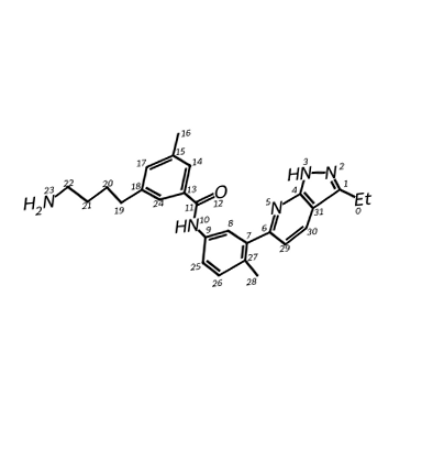 CCc1n[nH]c2nc(-c3cc(NC(=O)c4cc(C)cc(CCCCN)c4)ccc3C)ccc12